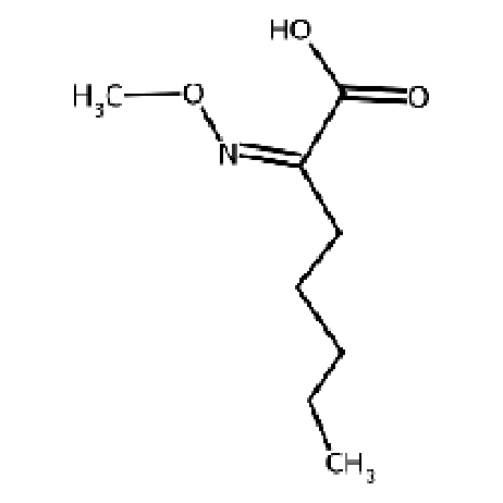 CCCCCC(=NOC)C(=O)O